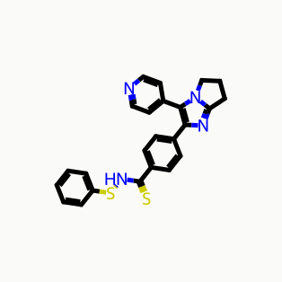 S=C(NSc1ccccc1)c1ccc(-c2nc3n(c2-c2ccncc2)CCC3)cc1